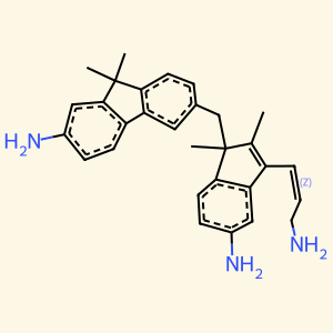 CC1=C(/C=C\CN)c2cc(N)ccc2C1(C)Cc1ccc2c(c1)-c1ccc(N)cc1C2(C)C